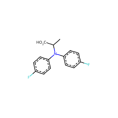 CC(C(=O)O)N(c1ccc(F)cc1)c1ccc(F)cc1